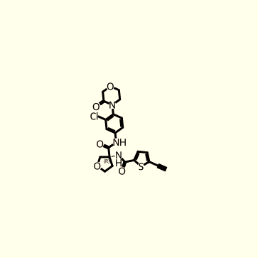 C#Cc1ccc(C(=O)N[C@]2(C(=O)Nc3ccc(N4CCOCC4=O)c(Cl)c3)CCOC2)s1